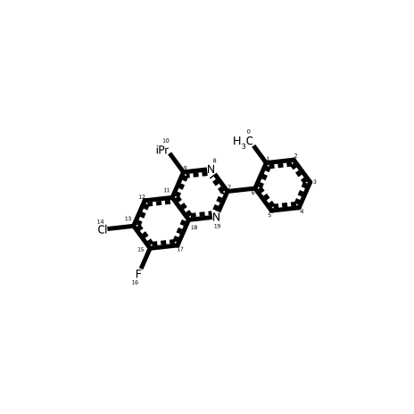 Cc1ccccc1-c1nc(C(C)C)c2cc(Cl)c(F)cc2n1